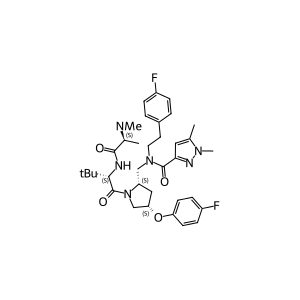 CN[C@@H](C)C(=O)N[C@H](C(=O)N1C[C@@H](Oc2ccc(F)cc2)C[C@H]1CN(CCc1ccc(F)cc1)C(=O)c1cc(C)n(C)n1)C(C)(C)C